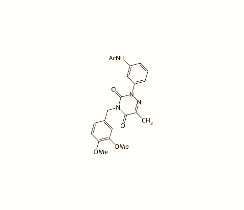 COc1ccc(Cn2c(=O)c(C)nn(-c3cccc(NC(C)=O)c3)c2=O)cc1OC